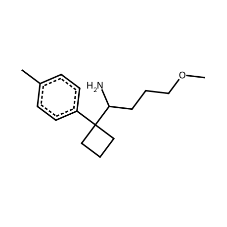 COCCCC(N)C1(c2ccc(C)cc2)CCC1